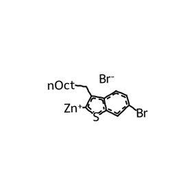 CCCCCCCCCc1[c]([Zn+])sc2cc(Br)ccc12.[Br-]